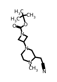 CN1CCN(C2CN(C(=O)OC(C)(C)C)C2)CC1CC#N